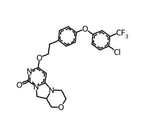 O=c1nc(OCCc2ccc(Oc3ccc(Cl)c(C(F)(F)F)c3)cc2)cc2n1CC1COCCN21